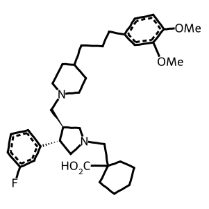 COc1ccc(CCCC2CCN(C[C@H]3CN(CC4(C(=O)O)CCCCC4)C[C@@H]3c3cccc(F)c3)CC2)cc1OC